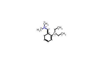 C[CH2][Ga]([CH2]C)[C]1=CC=CCC1=CN(C)C